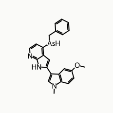 COc1ccc2c(c1)c(-c1cc3c([AsH]Cc4ccccc4)ccnc3[nH]1)cn2C